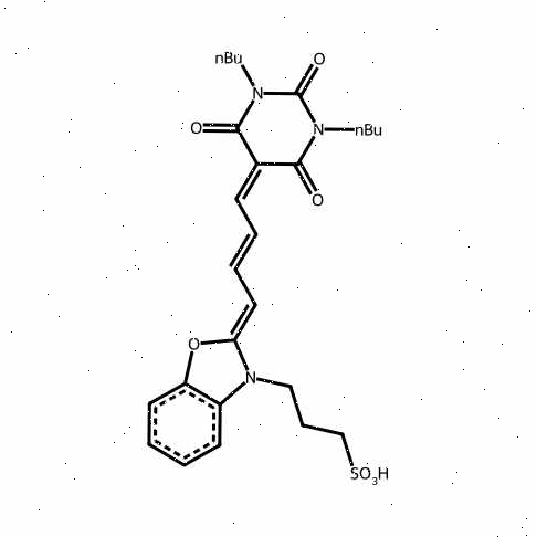 CCCCN1C(=O)C(=C/C=C/C=C2\Oc3ccccc3N2CCCS(=O)(=O)O)C(=O)N(CCCC)C1=O